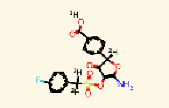 [2H]OC(=O)c1ccc(C2([2H])OC(N)=C(OS(=O)(=O)C([2H])([2H])c3ccc(F)cc3)C2=O)cc1